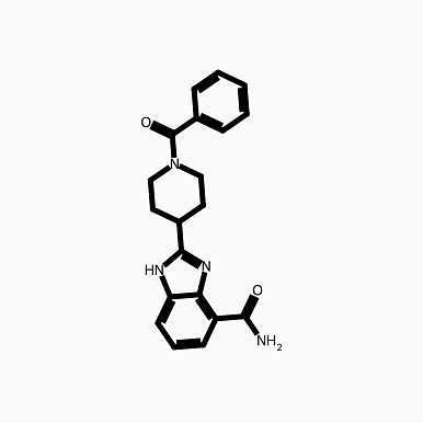 NC(=O)c1cccc2[nH]c(C3CCN(C(=O)c4ccccc4)CC3)nc12